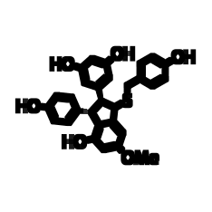 COc1cc(O)c2c(c1)C(SCc1ccc(O)cc1)[C@H](c1cc(O)cc(O)c1)[C@H]2c1ccc(O)cc1